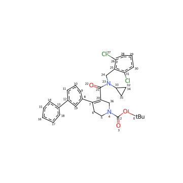 CC(C)(C)OC(=O)N1CCC(c2cccc(-c3ccccc3)c2)=C(C(=O)N(Cc2c(Cl)cccc2Cl)C2CC2)C1